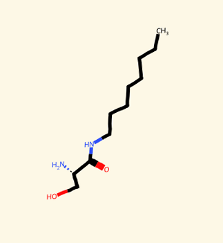 CCCCCCCCNC(=O)[C@@H](N)CO